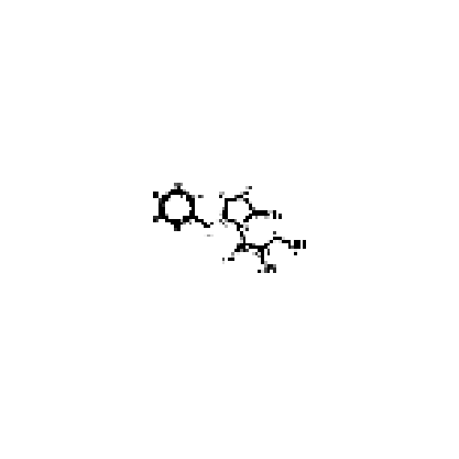 CC(C)[C@H](CO)C(=O)N1C(=O)OC[C@H]1Cc1ccccc1